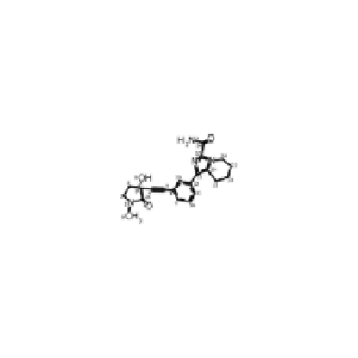 CN1CC[C@@](O)(C#Cc2cccc(-c3nc(C(N)=O)n4c3CCCC4)c2)C1=O